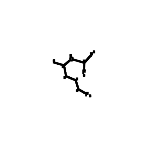 CC(CCCF)OC(F)F